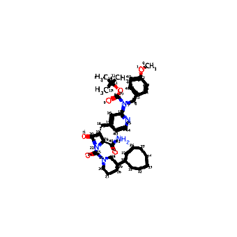 COc1ccc(CN(C(=O)OC(C)(C)C)c2cc(C[C@H]3C(=O)N(C(=O)N4CCCC(C5CCCCCCC5)C4)[C@@H]3C(N)=O)ccn2)cc1